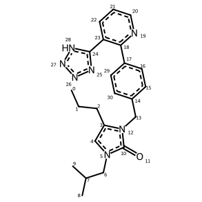 CCCc1cn(CC(C)C)c(=O)n1Cc1ccc(-c2ncccc2-c2nnn[nH]2)cc1